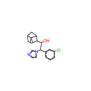 CC1(C)C2CCC(C(O)C(c3cccc(Cl)c3)n3ccnc3)C1C2